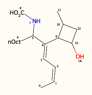 C/C=C\C=C(\C(CCCCCCCC)NC(=O)O)C1C(C)CC1O